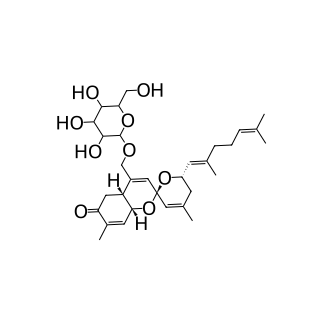 CC(C)=CCC/C(C)=C/[C@@H]1CC(C)=C[C@]2(C=C(COC3OC(CO)C(O)C(O)C3O)[C@H]3CC(=O)C(C)=C[C@H]3O2)O1